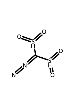 [N-]=[N+]=C([SH](=O)=O)[SH](=O)=O